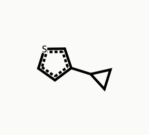 c1cc([C]2CC2)cs1